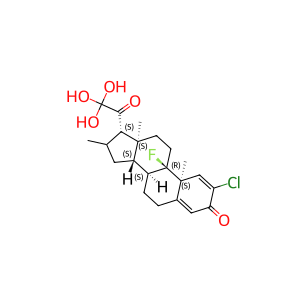 CC1C[C@H]2[C@@H]3CCC4=CC(=O)C(Cl)=C[C@]4(C)[C@@]3(F)CC[C@]2(C)[C@H]1C(=O)C(O)(O)O